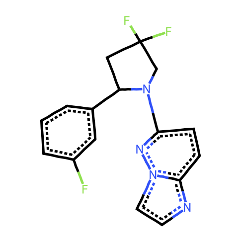 Fc1cccc(C2CC(F)(F)CN2c2ccc3nccn3n2)c1